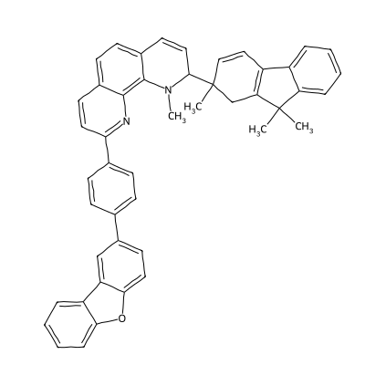 CN1c2c(ccc3ccc(-c4ccc(-c5ccc6oc7ccccc7c6c5)cc4)nc23)C=CC1C1(C)C=CC2=C(C1)C(C)(C)c1ccccc12